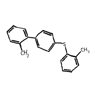 Cc1ccccc1Sc1ccc(-c2ccccc2C)cc1